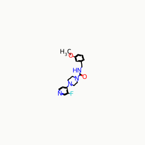 COc1cccc(CNC(=O)N2CCN(c3ccncc3F)CC2)c1